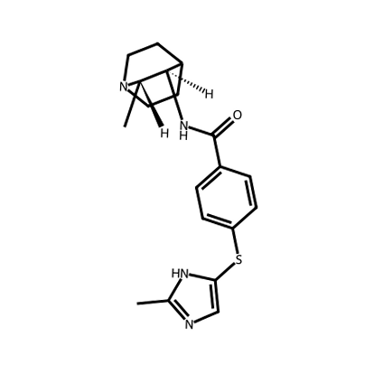 Cc1ncc(Sc2ccc(C(=O)N[C@@H]3C4CCN(CC4)[C@H]3C)cc2)[nH]1